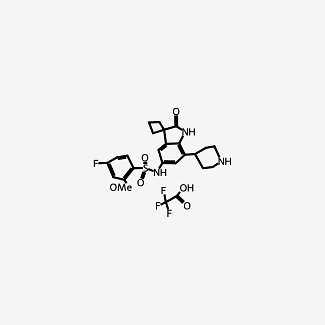 COc1cc(F)ccc1S(=O)(=O)Nc1cc(C2CCNCC2)c2c(c1)C1(CCC1)C(=O)N2.O=C(O)C(F)(F)F